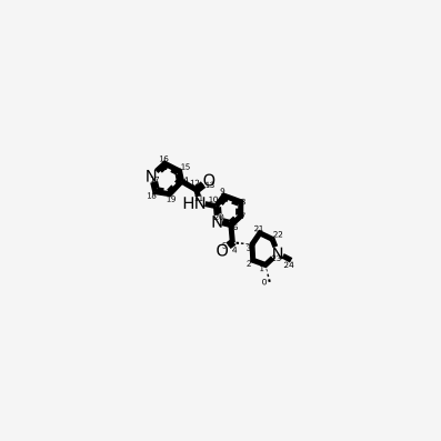 C[C@@H]1C[C@H](C(=O)c2cccc(NC(=O)c3ccncc3)n2)CCN1C